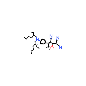 CCCCC(CC)CN(CC(CC)CCCC)c1ccc(C2=C(C#N)C(=C(C#N)C#N)OC2(C)C)cc1